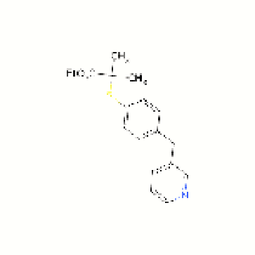 CCOC(=O)C(C)(C)Sc1ccc(Cc2cccnc2)cc1